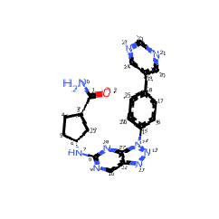 NC(=O)[C@@H]1CC[C@@H](Nc2ncc3nnn(-c4ccc(-c5cncnc5)cc4)c3n2)C1